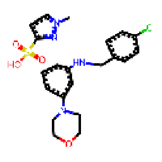 Clc1ccc(CNc2cccc(N3CCOCC3)c2)cc1.Cn1ccc(S(=O)(=O)O)n1